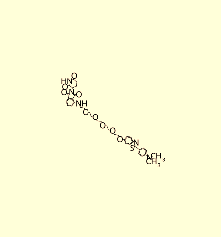 CN(C)c1ccc(-c2nc3ccc(OCCOCCOCCOCCOCCNc4cccc5c4C(=O)N(C4CCC(=O)NC4=O)C5=O)cc3s2)cc1